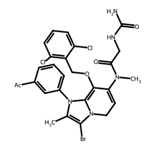 CC(=O)c1cccc(N2C(C)=C(Br)N3CC=C(N(C)C(=O)CNC(N)=O)C(OCc4c(Cl)cccc4Cl)=C32)c1